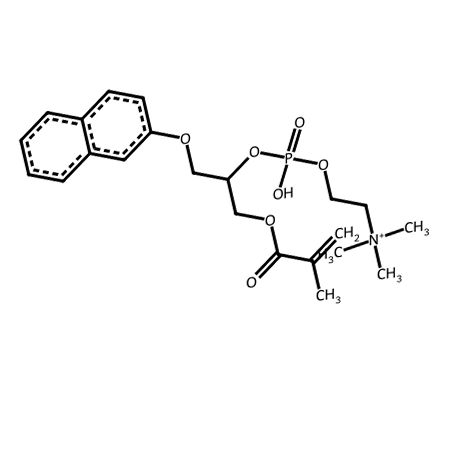 C=C(C)C(=O)OCC(COc1ccc2ccccc2c1)OP(=O)(O)OCC[N+](C)(C)C